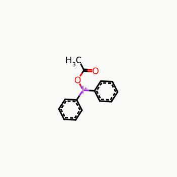 CC(=O)O[I+](c1ccccc1)c1ccccc1